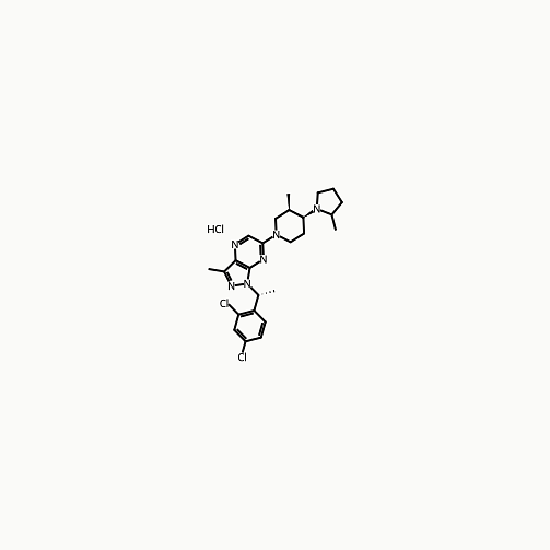 Cc1nn([C@H](C)c2ccc(Cl)cc2Cl)c2nc(N3CC[C@H](N4CCCC4C)[C@H](C)C3)cnc12.Cl